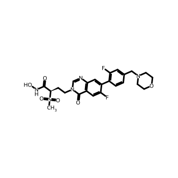 CS(=O)(=O)[C@H](CCn1cnc2cc(-c3ccc(CN4CCOCC4)cc3F)c(F)cc2c1=O)C(=O)NO